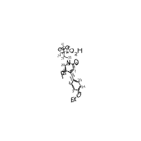 CCOc1ccc(-c2cc(=O)n(CC[C@](C)(C(=O)O)S(C)(=O)=O)cc2F)cc1